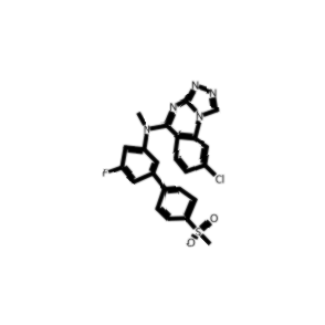 CN(c1cc(F)cc(-c2ccc(S(C)(=O)=O)cc2)c1)c1nc2nncn2c2cc(Cl)ccc12